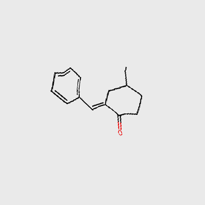 CC1CCC(=O)C(=Cc2ccccc2)C1